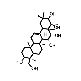 CC1(C)CC2C3=CCC4[C@@]5(C)CC[C@H](O)[C@](C)(CO)C5CC[C@@]4(C)[C@@H]3[C@@H](O)[C@@H](O)[C@@]2(CO)[C@@H](O)[C@@H]1O